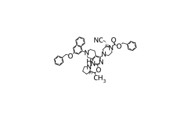 CC(Oc1nc2c(c(N3CCN(C(=O)OCc4ccccc4)[C@@H](CC#N)C3)n1)CCN(c1cc(OCc3ccccc3)cc3ccccc13)C2)[C@H]1CCCN1